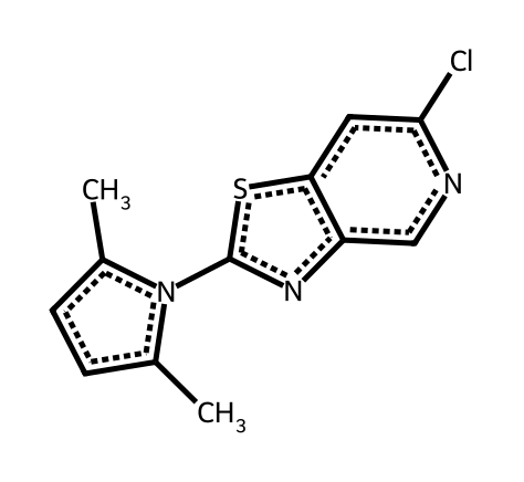 Cc1ccc(C)n1-c1nc2cnc(Cl)cc2s1